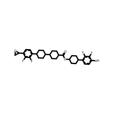 CCCc1ccc(C2CCC(OC(=O)C3CCC(C4CCC(c5ccc(C6CO6)c(F)c5F)CC4)CC3)CC2)c(F)c1F